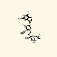 Nc1nc2c(ncn2[C@@H]2C[C@H](COP(=O)(O)OP(=O)([O-])OP(=O)([O-])[O-])[C@@H](O)[C@H]2O)c(=O)[nH]1.[Na+].[Na+].[Na+]